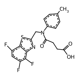 Cc1ccc(N(Cc2nc3c(F)c(F)cc(F)c3s2)C(=O)CCC(=O)O)cc1